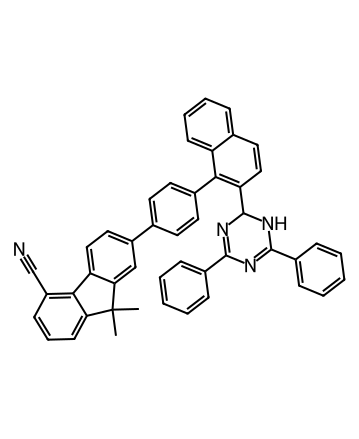 CC1(C)c2cc(-c3ccc(-c4c(C5N=C(c6ccccc6)N=C(c6ccccc6)N5)ccc5ccccc45)cc3)ccc2-c2c(C#N)cccc21